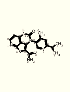 Cc1cc(C(C)C)ncc1N1C(=O)Nc2ccnc3sc(C(N)=O)c1c23